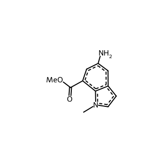 COC(=O)c1cc(N)cc2ccn(C)c12